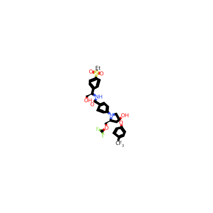 CCS(=O)(=O)c1ccc([C@H](CO)NC(=O)c2ccc(N3CC(O)(Oc4ccc(C(F)(F)F)cc4)C[C@H]3COC(F)F)cc2)cc1